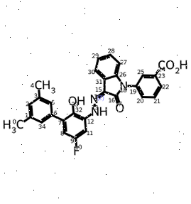 Cc1cc(C)cc(-c2cc(F)cc(N/N=C3\C(=O)N(c4cccc(C(=O)O)c4)c4ccccc43)c2O)c1